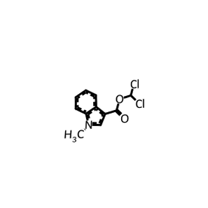 Cn1cc(C(=O)OC(Cl)Cl)c2ccccc21